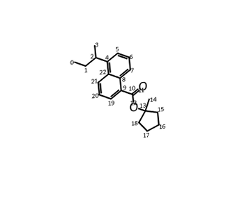 CCC(C)c1cccc2c(C(=O)OC3(C)CCCC3)cccc12